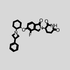 O=C1CC[C@@H](N2Cc3c(ccc(O[C@H]4CCCC[C@@H]4N4CC(c5ccccc5)C4)c3F)C2=O)C(=O)N1